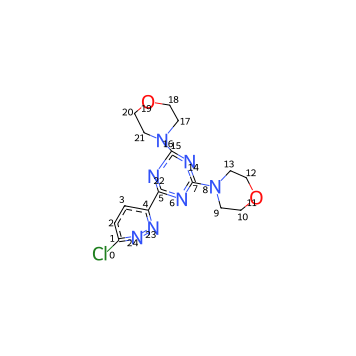 Clc1ccc(-c2nc(N3CCOCC3)nc(N3CCOCC3)n2)nn1